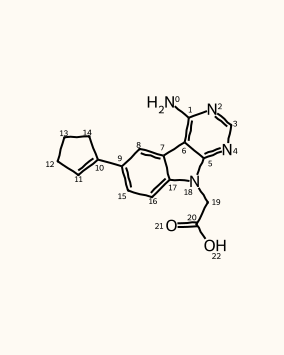 Nc1ncnc2c1c1cc(C3=CCCC3)ccc1n2CC(=O)O